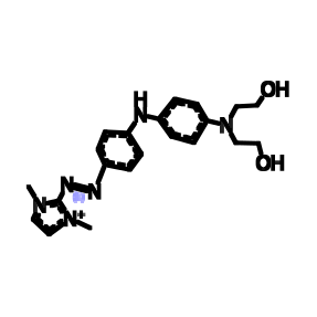 Cn1cc[n+](C)c1/N=N/c1ccc(Nc2ccc(N(CCO)CCO)cc2)cc1